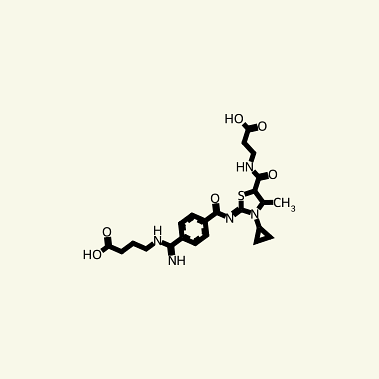 CC1C(C(=O)NCCC(=O)O)SC(=NC(=O)c2ccc(C(=N)NCCCC(=O)O)cc2)N1C1CC1